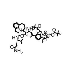 C/C(=C\C(=O)N[C@H]1CCc2cccc3c2N(C1=O)[C@H](C(=O)N[C@@H](CCC(N)=O)C(C)C)C3)c1ccc(C(F)(F)P(=O)(OCOC(=O)C(C)(C)C)OCOC(=O)C(C)(C)C)cc1